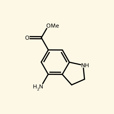 COC(=O)c1cc(N)c2c(c1)NCC2